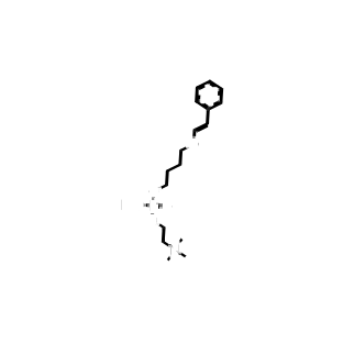 C[N+](C)(C)CCOP(=O)(O)OCCCCOC=Cc1ccccc1